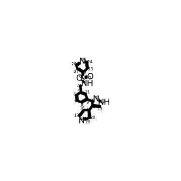 O=S(=O)(NCc1cccc(-c2n[nH]cc2-c2ccncc2)c1)c1ccncc1